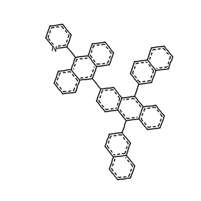 c1ccc(-c2c3ccccc3c(-c3ccc4c(-c5ccc6ccccc6c5)c5ccccc5c(-c5ccc6ccccc6c5)c4c3)c3ccccc23)nc1